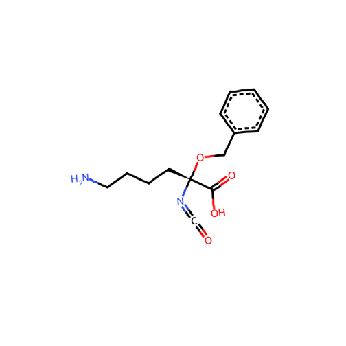 NCCCC[C@@](N=C=O)(OCc1ccccc1)C(=O)O